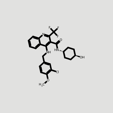 COc1ccc(CNc2c(C(=O)N[C@H]3CC[C@H](O)CC3)c(C(F)(F)F)nc3ccccc23)cc1Cl